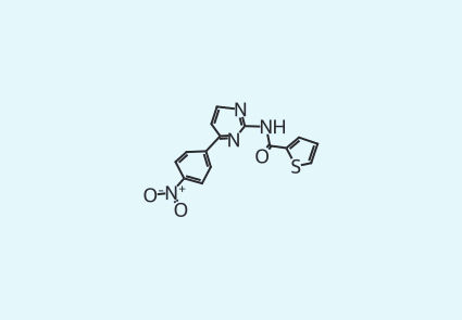 O=C(Nc1nccc(-c2ccc([N+](=O)[O-])cc2)n1)c1cccs1